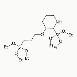 CCO[Si](CCCOC1CCCNC1[Si](OCC)(OCC)OCC)(OCC)OCC